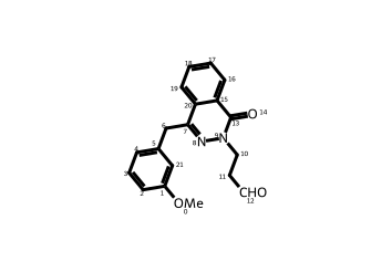 COc1cccc(Cc2nn(CCC=O)c(=O)c3ccccc23)c1